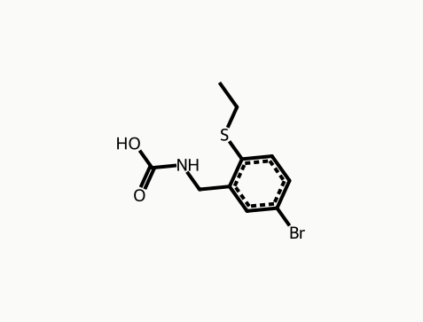 CCSc1ccc(Br)cc1CNC(=O)O